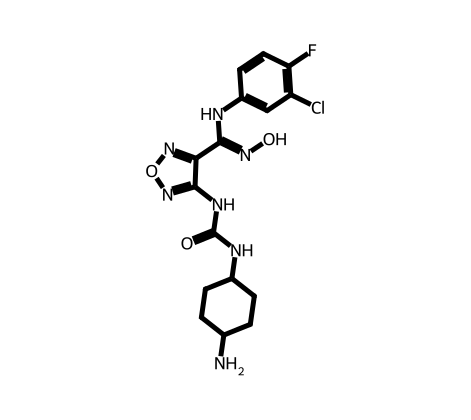 NC1CCC(NC(=O)Nc2nonc2/C(=N/O)Nc2ccc(F)c(Cl)c2)CC1